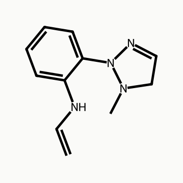 C=CNc1ccccc1N1N=CCN1C